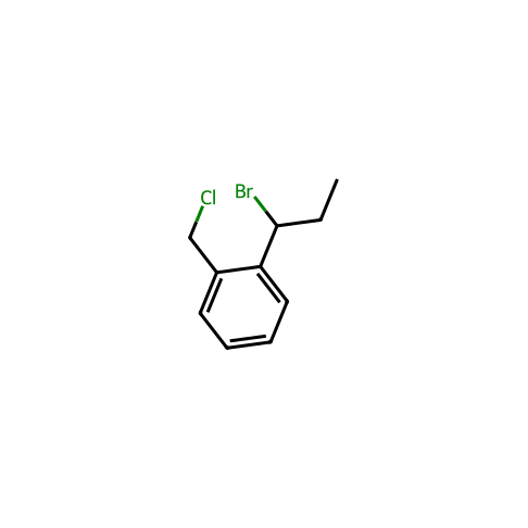 CCC(Br)c1ccccc1CCl